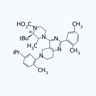 Cc1ccc(C)c(-c2nc3c(c(N4CCN(C(=O)O)[C@H](C(C)(C)C)C4C)n2)CN(c2cc(C(C)C)ccc2C)CC3)c1